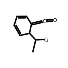 CC(Cl)C1C=CC=CC1=C=O